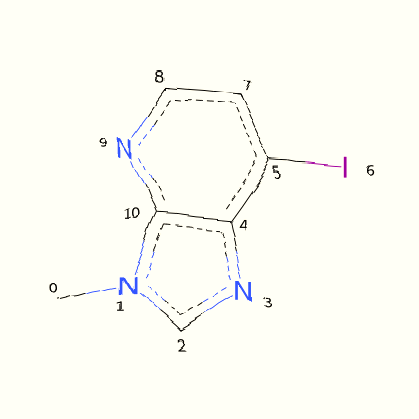 Cn1cnc2c(I)ccnc21